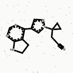 N#CCC1(n2cc(-c3ncnc4c3CCN4)cn2)CC1